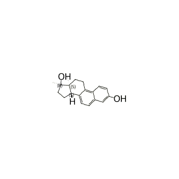 C[C@]12CCc3c(ccc4cc(O)ccc34)[C@@H]1CC[C@@]2(C)O